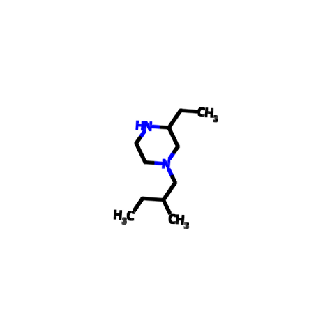 CCC(C)CN1CCNC(CC)C1